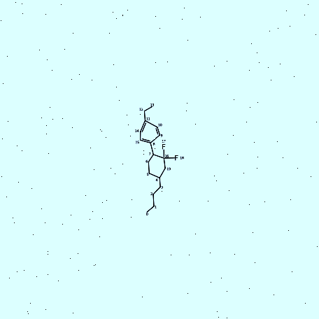 CCCCC1CCC(c2ccc(CC)cc2)C(F)(F)C1